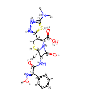 CO/N=C(/C(=O)NC1C(=O)N2C(C(=O)O)=C(c3nnc(N(C)C)s3)CS[C@H]12)c1ccccc1